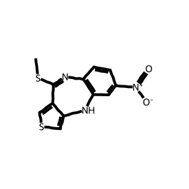 CSC1=Nc2ccc([N+](=O)[O-])cc2Nc2cscc21